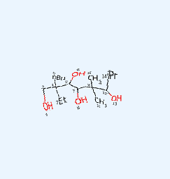 CCCCC(CC)(CO)C(O)C(O)C(C)(C)C(O)C(C)C